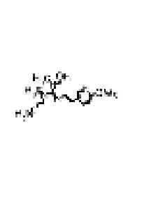 COc1ccc(/C=C/N=C(\N(C)CO)N(C)CCCN)cn1